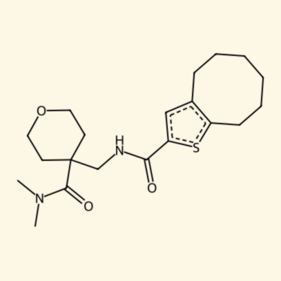 CN(C)C(=O)C1(CNC(=O)c2cc3c(s2)CCCCCC3)CCOCC1